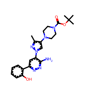 Cc1nn(-c2cc(-c3ccccc3O)nnc2N)cc1N1CCN(C(=O)OC(C)(C)C)CC1